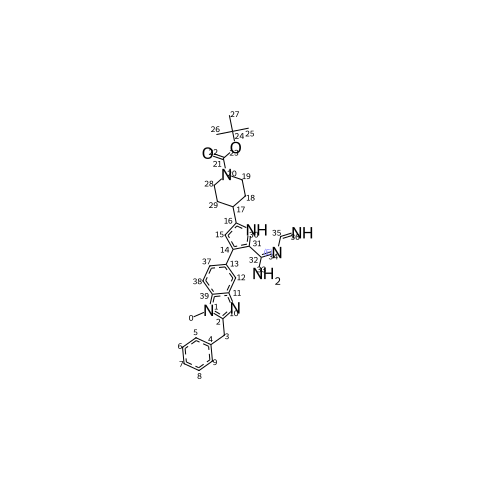 Cn1c(Cc2ccccc2)nc2cc(-c3cc(C4CCN(C(=O)OC(C)(C)C)CC4)[nH]c3/C(N)=N\C=N)ccc21